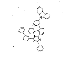 c1ccc(-c2cccc(-c3nc(-c4ccccc4)nc(-c4cccc5c6cc(-n7c8ccccc8c8ccccc87)ccc6c6ccccc6c45)n3)c2)cc1